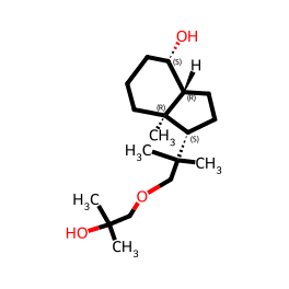 CC(C)(O)COCC(C)(C)[C@H]1CC[C@H]2[C@@H](O)CCC[C@]12C